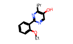 CCOc1ccccc1-c1ncc(O)c(C(C)C)n1